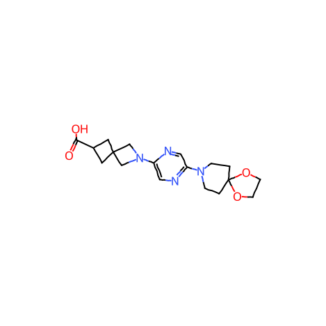 O=C(O)C1CC2(C1)CN(c1cnc(N3CCC4(CC3)OCCO4)cn1)C2